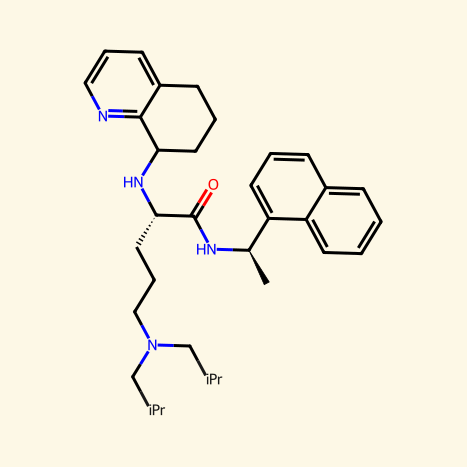 CC(C)CN(CCC[C@H](NC1CCCc2cccnc21)C(=O)N[C@H](C)c1cccc2ccccc12)CC(C)C